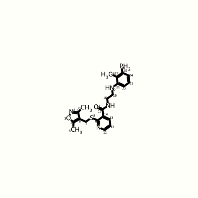 Cc1noc(C)c1CSc1ncccc1C(=O)NCCNc1cccc(P)c1C